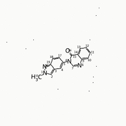 Cn1cc2cc(-n3cnc4ccccc4c3=O)ccc2n1